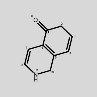 O=C1CC=CC2=C1C=CNC2